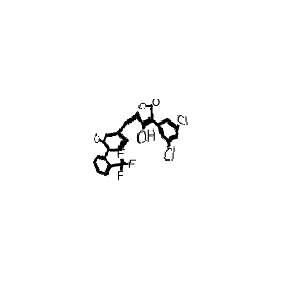 COc1cc(C=C2OC(=O)C(c3cc(Cl)cc(Cl)c3)=C2O)ccc1-c1ccccc1C(F)(F)F